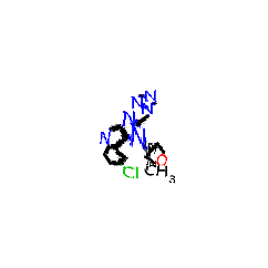 C[C@@H]1C[C@H](n2c(Cn3cncn3)nc3cnc4ccc(Cl)cc4c32)CCO1